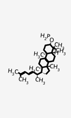 CC(C)=C/C=C/[C@@H](C)[C@H]1CC[C@@]2(C)C3=C(CC[C@]12C)[C@@]1(C)CC[C@H](OP)C(C)(C)[C@@H]1CC3